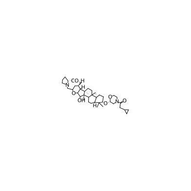 C[C@@H]1CC(CN2CCC[C@@H]2C(=O)O)OC2[C@H]1[C@@]1(C)CCC34C[C@@]35CC[C@H](O[C@H]3CN(C(=O)CC6CC6)CCO3)C(C)(C)[C@@H]5CCC4[C@]1(C)[C@H]2O